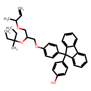 C=CC(C)OCC(COc1ccc(C2(c3ccc(O)cc3)c3ccccc3-c3ccccc32)cc1)OC(C)(CC)CC